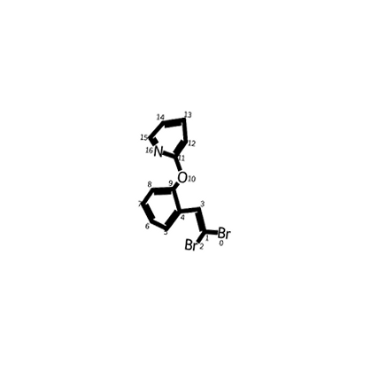 BrC(Br)=Cc1ccccc1Oc1ccccn1